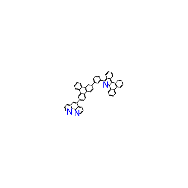 C1=Cc2c(c3c4ccccc4c(-c4cccc(C5C=Cc6c(c7ccccc7c7cc(-c8cc9cccnc9c9ncccc89)ccc67)C5)c4)nc3c3ccccc23)CC1